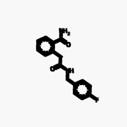 NC(=O)c1ccccc1[CH]C(=O)NCc1ccc(F)cc1